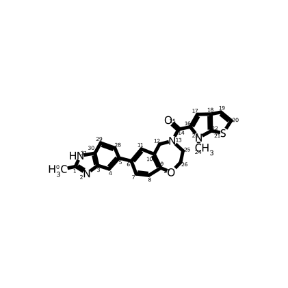 Cc1nc2cc(-c3ccc4c(c3)CN(C(=O)c3cc5ccsc5n3C)CCO4)ccc2[nH]1